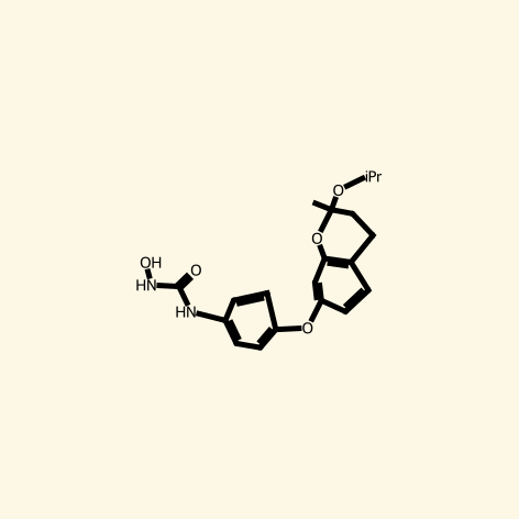 CC(C)OC1(C)CCc2ccc(Oc3ccc(NC(=O)NO)cc3)cc2O1